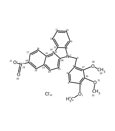 COc1ccc(Cn2c3ccccc3[n+]3c4ccc([N+](=O)[O-])cc4ccc23)c(OC)c1OC.[Cl-]